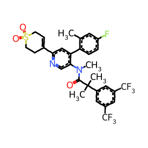 Cc1cc(F)ccc1-c1cc(C2=CCS(=O)(=O)CC2)ncc1N(C)C(=O)C(C)(C)c1cc(C(F)(F)F)cc(C(F)(F)F)c1